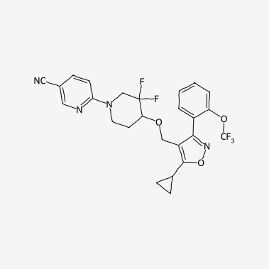 N#Cc1ccc(N2CCC(OCc3c(-c4ccccc4OC(F)(F)F)noc3C3CC3)C(F)(F)C2)nc1